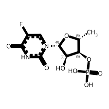 C[C@H]1O[C@@H](n2cc(F)c(=O)[nH]c2=O)[C@H](O)[C@@H]1OP(=O)(O)O